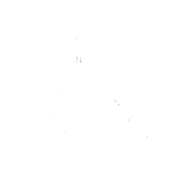 C=C=NCC1(C)CC(N=C=O)CC(C)(C)C1